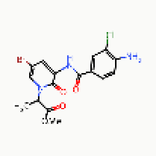 COC(=O)C(C)n1cc(Br)cc(NC(=O)c2ccc(N)c(Cl)c2)c1=O